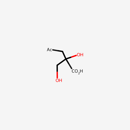 CC(=O)CC(O)(CO)C(=O)O